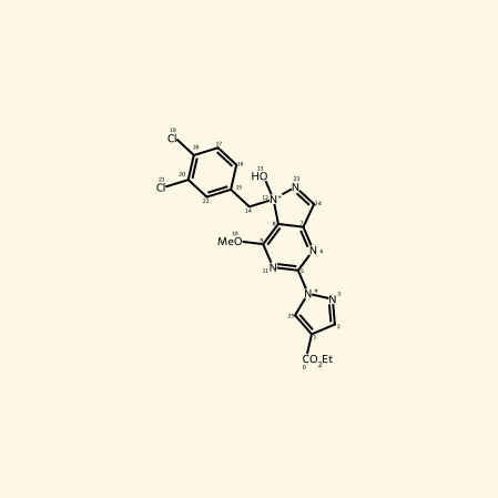 CCOC(=O)c1cnn(-c2nc3c(c(OC)n2)[N+](O)(Cc2ccc(Cl)c(Cl)c2)N=C3)c1